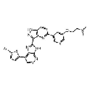 CC(=O)c1ccc(-c2ccnc3[nH]c(-c4n[nH]c5ccc(-c6cncc(OCCN(C)C)c6)nc45)nc23)s1